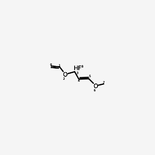 C=COCC=COC.F